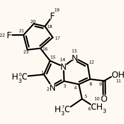 Cc1nc2c(C(C)C)c(C(=O)O)cnn2c1-c1cc(F)cc(F)c1